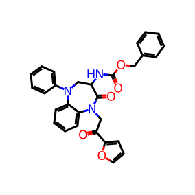 O=C(NC1CN(c2ccccc2)c2ccccc2N(CC(=O)c2ccco2)C1=O)OCc1ccccc1